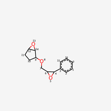 c1ccc(C2OC2COC2CCC3OC23)cc1